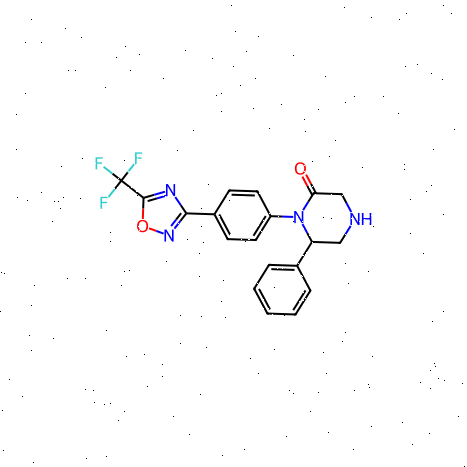 O=C1CNCC(c2ccccc2)N1c1ccc(-c2noc(C(F)(F)F)n2)cc1